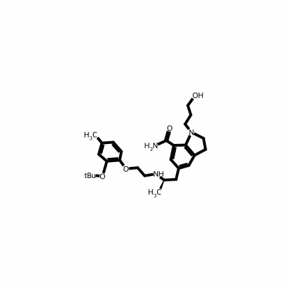 Cc1ccc(OCCN[C@H](C)Cc2cc3c(c(C(N)=O)c2)N(CCCO)CC3)c(OC(C)(C)C)c1